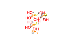 OP(O)(O)=S.OP(O)(O)=S.OP(O)(O)=S.P